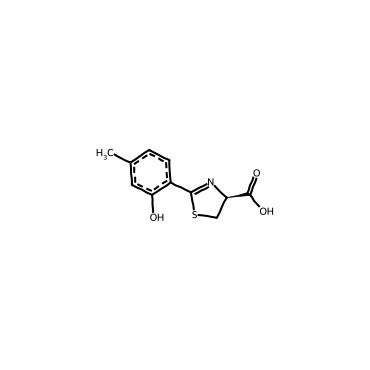 Cc1ccc(C2=N[C@@H](C(=O)O)CS2)c(O)c1